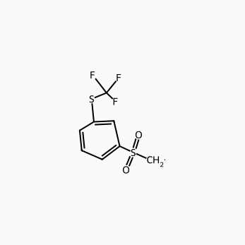 [CH2]S(=O)(=O)c1cccc(SC(F)(F)F)c1